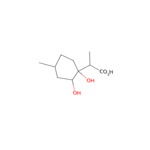 CC1CCC(O)(C(C)C(=O)O)C(O)C1